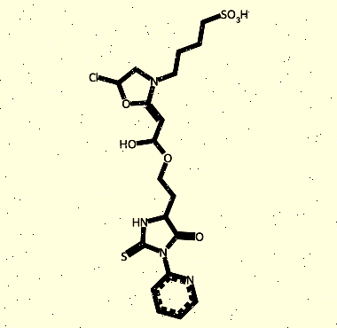 O=C1C(CCOC(O)C=C2OC(Cl)CN2CCCCS(=O)(=O)O)NC(=S)N1c1ccccn1